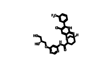 O=C(Nc1cc(OC[C@H](O)CO)ncn1)C1CC[C@H]2CN1C1=CC(Cl)=C(c3cccc(C(F)(F)F)c3)NC1=N2